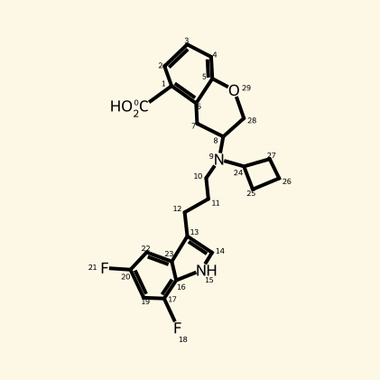 O=C(O)c1cccc2c1CC(N(CCCc1c[nH]c3c(F)cc(F)cc13)C1CCC1)CO2